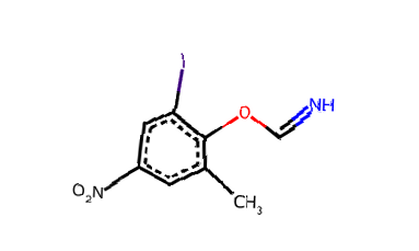 Cc1cc([N+](=O)[O-])cc(I)c1OC=N